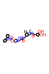 CN(CC(=O)c1ccc(O)c(O)c1)Cc1cccc(CNC(=O)CCN2CCC(OC(=O)Nc3ccccc3-c3ccccc3)CC2)c1